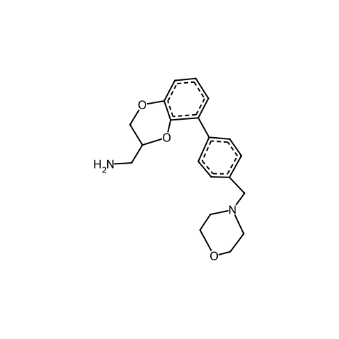 NCC1COc2cccc(-c3ccc(CN4CCOCC4)cc3)c2O1